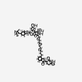 Cc1ncsc1-c1ccc(CNC(=O)[C@@H]2C[C@@H](O)CN2C(=O)[C@@H](NC(=O)COCCOCCOCCCc2cccc3c2CN(C2CCC(=O)NC2=O)C3=O)C(C)(C)C)cc1